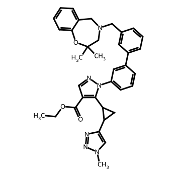 CCOC(=O)c1cnn(-c2cccc(-c3cccc(CN4Cc5ccccc5OC(C)(C)C4)c3)c2)c1C1CC1c1cn(C)nn1